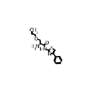 C=CCOC[C@H](N)C(=O)Nc1nc(-c2ccccc2)cs1